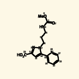 COC(=O)NCCCn1nc(C(=O)O)cc1-c1ccccn1